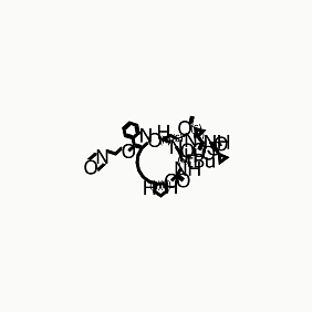 C=C[C@@H]1C[C@]1(NC(=O)[C@@H]1C[C@@H]2CN1C(=O)[C@H](C(C)(C)C)NC(=O)O[C@@H]1CCC[C@H]1CCCCCc1c(nc3ccccc3c1OCCCN1CCOCC1)O2)C(=O)NS(=O)(=O)C1CC1